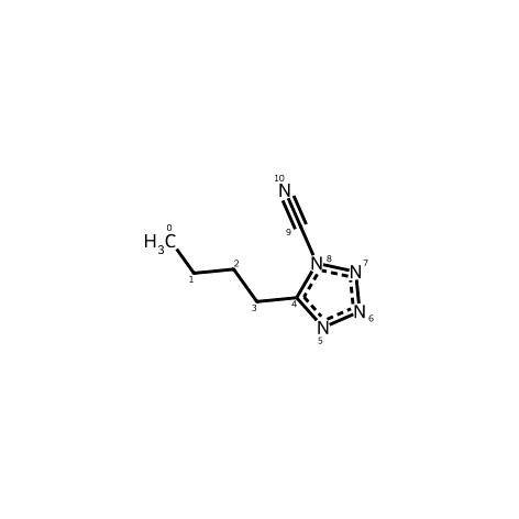 CCCCc1nnnn1C#N